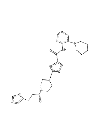 O=C(Nc1ccccc1N1CCCCC1)c1csc(C2CCN(C(=O)CCc3cccs3)CC2)n1